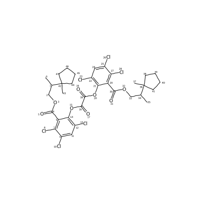 CC(COC(=O)c1c(Cl)c(Cl)cc(Cl)c1OC(=O)C(=O)Oc1c(Cl)cc(Cl)c(Cl)c1C(=O)OCC(C)C1(C)CCCC1)C1(C)CCCC1